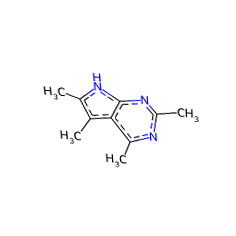 Cc1nc(C)c2c(C)c(C)[nH]c2n1